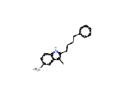 Cc1c(CCCCc2ccccc2)[nH]c2ccc(C(=O)O)cc12